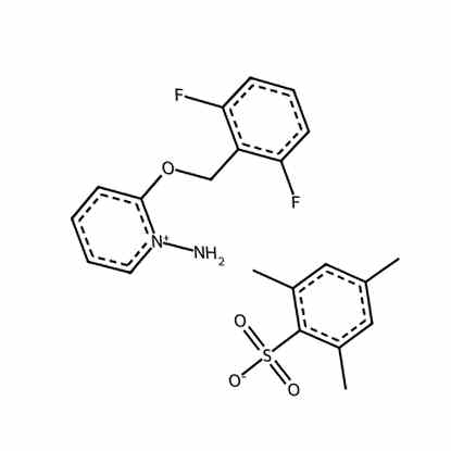 Cc1cc(C)c(S(=O)(=O)[O-])c(C)c1.N[n+]1ccccc1OCc1c(F)cccc1F